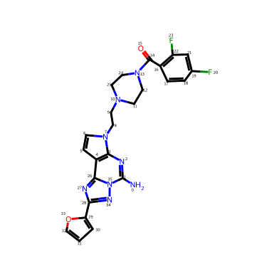 Nc1nc2c(ccn2CCN2CCN(C(=O)c3ccc(F)cc3F)CC2)c2nc(-c3ccco3)nn12